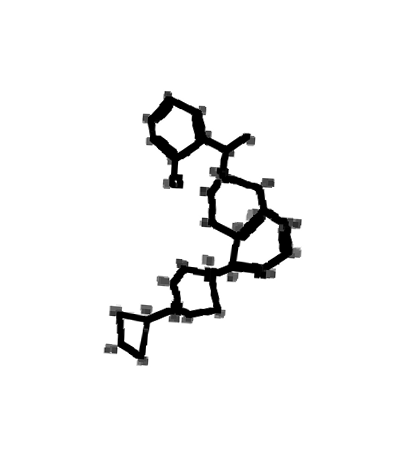 CC(c1ccccc1Cl)N1CCc2c(ncnc2N2CCN(C3CCC3)CC2)C1